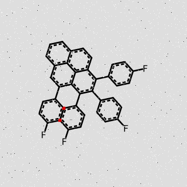 Fc1ccc(-c2c(-c3ccc(F)cc3)c3ccc4cccc5cc(-c6ccc(F)cc6)c(c2-c2ccc(F)cc2)c3c45)cc1